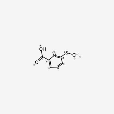 CSc1cccc(C(=O)O)n1